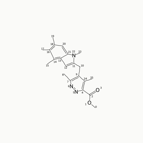 COC(=O)c1nnc(C)c(Cc2cc3c(C)c(C)c(C)cc3n2C)c1C